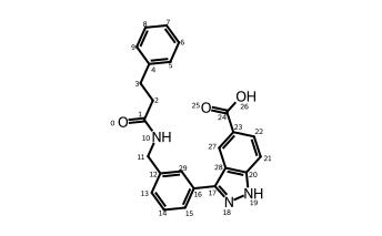 O=C(CCc1ccccc1)NCc1cccc(-c2n[nH]c3ccc(C(=O)O)cc23)c1